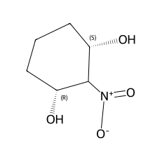 O=[N+]([O-])C1[C@H](O)CCC[C@@H]1O